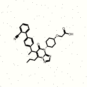 CCCc1c(C(C)c2ccc(-c3ccccc3C#N)cc2)c(=O)n([C@H]2CC[C@H](OCC(=O)O)CC2)c2ncnn12